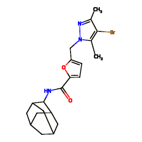 Cc1nn(Cc2ccc(C(=O)NC3C4CC5CC(C4)CC3C5)o2)c(C)c1Br